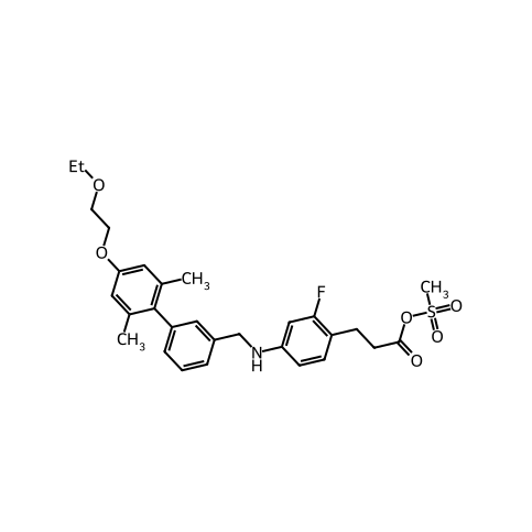 CCOCCOc1cc(C)c(-c2cccc(CNc3ccc(CCC(=O)OS(C)(=O)=O)c(F)c3)c2)c(C)c1